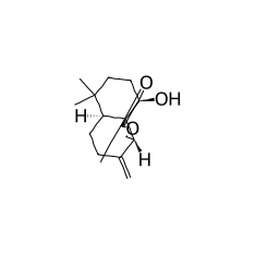 C=C1CC[C@H]2C(C)(C)CC[C@@H](O)[C@@]23C(=O)OC[C@@H]13